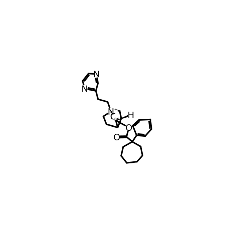 O=C(O[C@H]1C[N+]2(CCc3cnccn3)CCC1CC2)C1(c2ccccc2)CCCCCC1